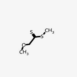 COCC(=S)SC